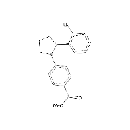 COC(=O)c1ccc(N2CCC[C@H]2c2ccccc2Cl)cc1